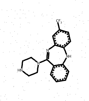 FC(F)(F)c1ccc2c(c1)N=C(N1CCNCC1)c1ccccc1N2